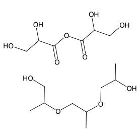 CC(O)COC(C)COC(C)CO.O=C(OC(=O)C(O)CO)C(O)CO